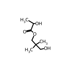 CC(O)C(=O)OCC(C)(C)CO